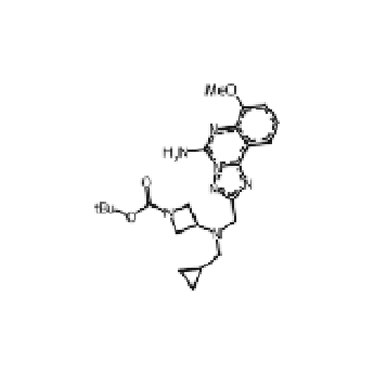 COc1cccc2c1nc(N)n1nc(CN(CC3CC3)C3CN(C(=O)OC(C)(C)C)C3)nc21